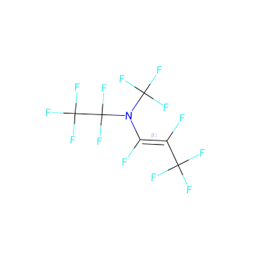 F/C(=C(/F)C(F)(F)F)N(C(F)(F)F)C(F)(F)C(F)(F)F